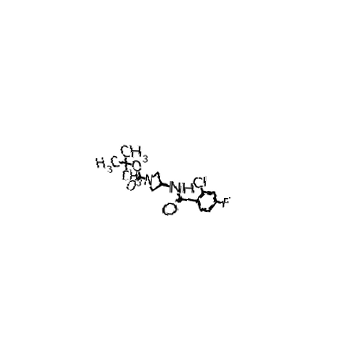 CC(C)(C)OC(=O)N1CC(NC(=O)c2ccc(F)cc2Cl)C1